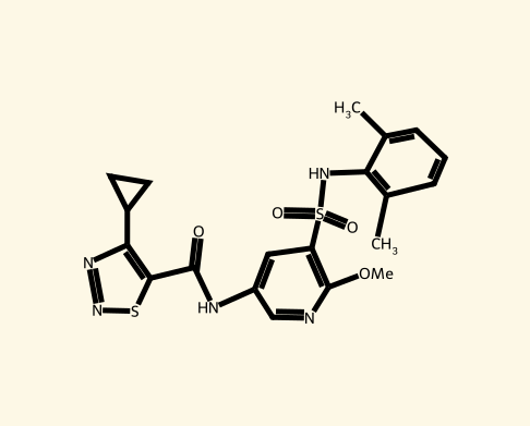 COc1ncc(NC(=O)c2snnc2C2CC2)cc1S(=O)(=O)Nc1c(C)cccc1C